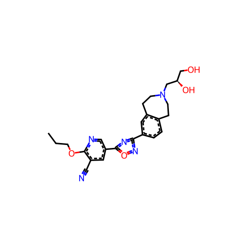 CCCOc1ncc(-c2nc(-c3ccc4c(c3)CCN(C[C@H](O)CO)CC4)no2)cc1C#N